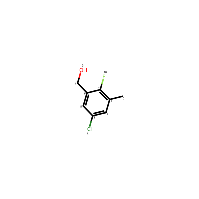 Cc1cc(Cl)cc(CO)c1F